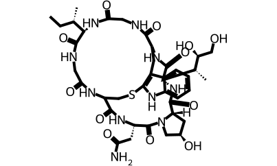 CC[C@H](C)[C@@H]1NC(=O)CNC(=O)C2Cc3c([nH]c4ccccc34)SCC(NC(=O)CNC1=O)C(=O)N[C@@H](CC(N)=O)C(=O)N1C[C@H](O)C[C@H]1C(=O)N[C@@H]([C@@H](C)[C@@H](O)CO)C(=O)N2